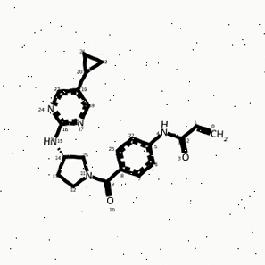 C=CC(=O)Nc1ccc(C(=O)N2CC[C@H](Nc3ncc(C4CC4)cn3)C2)cc1